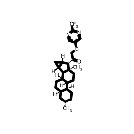 C[C@H]1CC[C@H]2[C@H](CC[C@H]3C4[C@@H]5C[C@@H]5[C@H](C(=O)COc5cnc(C(F)(F)F)nc5)[C@@]4(C)CC[C@H]23)C1